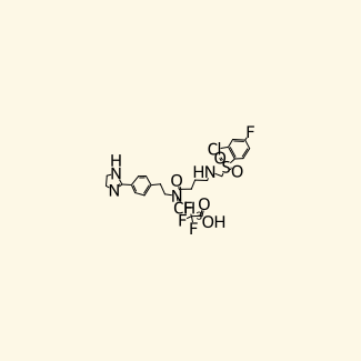 CN(CCc1ccc(C2=NCCN2)cc1)C(=O)CCCNCS(=O)(=O)c1ccc(F)cc1Cl.O=C(O)C(F)(F)F